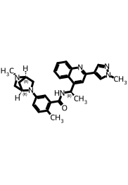 Cc1ccc(N2C[C@H]3C[C@@H]2CN3C)cc1C(=O)N[C@H](C)c1cc(-c2cnn(C)c2)nc2ccccc12